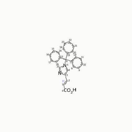 O=C(O)/C=C/c1cn(C(c2ccccc2)(c2ccccc2)c2ccccc2)cn1